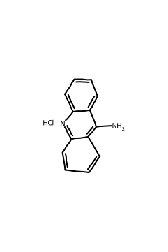 Cl.Nc1c2ccccc2nc2ccccc12